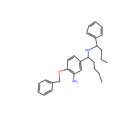 CCCCC(NC(CCC)c1ccccc1)c1ccc(OCc2ccccc2)c(N)c1